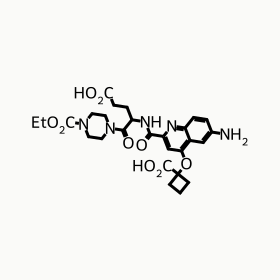 CCOC(=O)N1CCN(C(=O)C(CCC(=O)O)NC(=O)c2cc(OC3(C(=O)O)CCC3)c3cc(N)ccc3n2)CC1